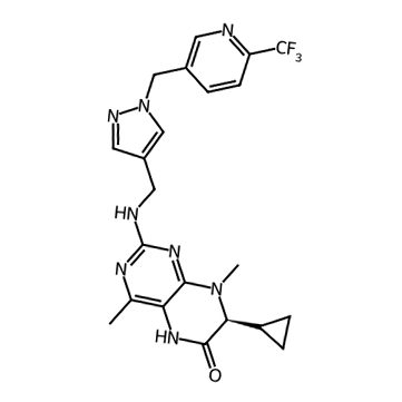 Cc1nc(NCc2cnn(Cc3ccc(C(F)(F)F)nc3)c2)nc2c1NC(=O)[C@H](C1CC1)N2C